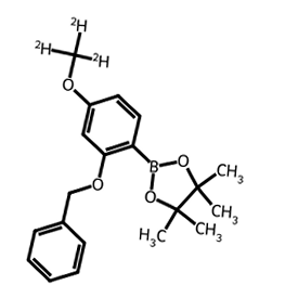 [2H]C([2H])([2H])Oc1ccc(B2OC(C)(C)C(C)(C)O2)c(OCc2ccccc2)c1